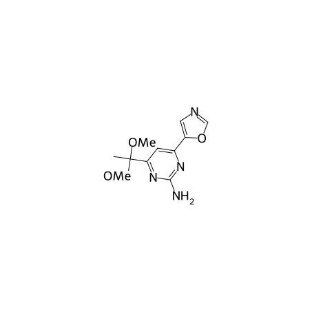 COC(C)(OC)c1cc(-c2cnco2)nc(N)n1